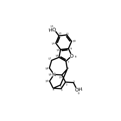 OCC1CC2CC3c4oc5ccc(O)cc5c4CCN(C2)C13